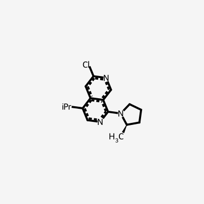 CC(C)c1cnc(N2CCC[C@H]2C)c2cnc(Cl)cc12